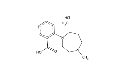 CN1CCCN(c2ccccc2C(=O)O)CC1.Cl.O